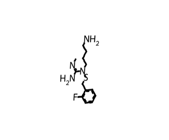 C/N=C(/N)N(CCCCN)SCc1ccccc1F